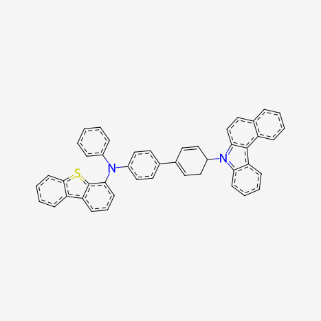 C1=CC(n2c3ccccc3c3c4ccccc4ccc32)CC=C1c1ccc(N(c2ccccc2)c2cccc3c2sc2ccccc23)cc1